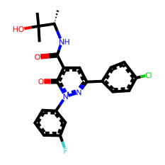 C[C@H](NC(=O)c1cc(-c2ccc(Cl)cc2)nn(-c2cccc(F)c2)c1=O)C(C)(C)O